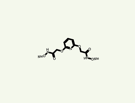 CONC(=O)COc1cccc(OCC(=O)NOC)n1